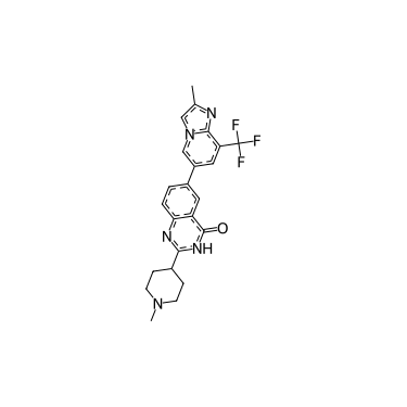 Cc1cn2cc(-c3ccc4nc(C5CCN(C)CC5)[nH]c(=O)c4c3)cc(C(F)(F)F)c2n1